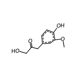 COc1cc(CC(=O)CO)ccc1O